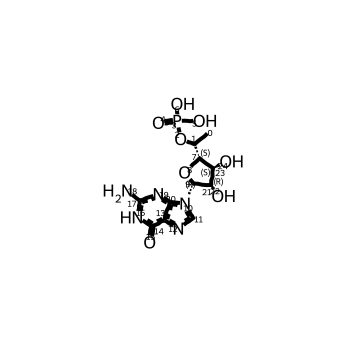 CC(OP(=O)(O)O)[C@H]1O[C@@H](n2cnc3c(=O)[nH]c(N)nc32)[C@H](O)[C@@H]1O